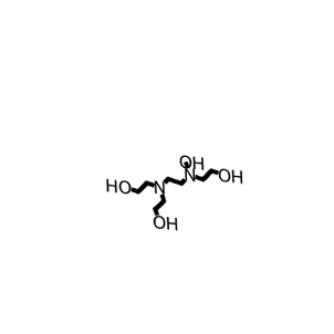 OCCN(O)CCN(CCO)CCO